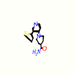 NC(=O)C1CCN(c2ccncc2-c2cccs2)CC1